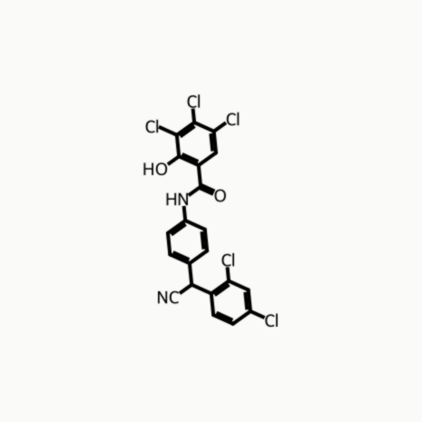 N#CC(c1ccc(NC(=O)c2cc(Cl)c(Cl)c(Cl)c2O)cc1)c1ccc(Cl)cc1Cl